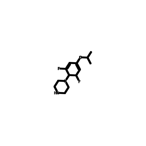 CC(C)OC1=CC(F)C(N2CCNCC2)C(F)=C1